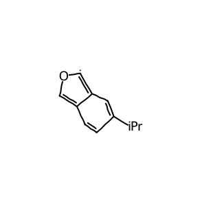 CC(C)c1ccc2co[c]c2c1